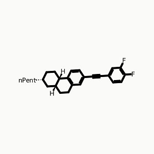 CCCCC[C@@H]1CC[C@@H]2c3ccc(C#Cc4ccc(F)c(F)c4)cc3CC[C@@H]2C1